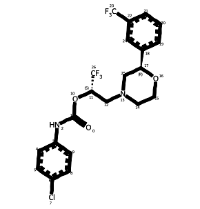 O=C(Nc1ccc(Cl)cc1)O[C@@H](CN1CCO[C@H](c2cccc(C(F)(F)F)c2)C1)C(F)(F)F